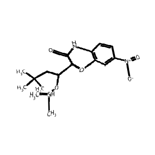 C[SiH](C)OC(CC(C)(C)C)C1Oc2cc([N+](=O)[O-])ccc2NC1=O